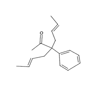 CC=CCC(CC=CC)(C(C)=O)c1ccccc1